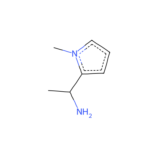 CC(N)c1cccn1C